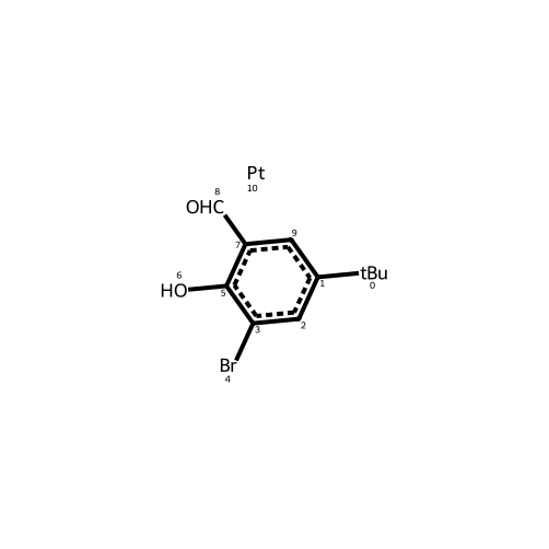 CC(C)(C)c1cc(Br)c(O)c(C=O)c1.[Pt]